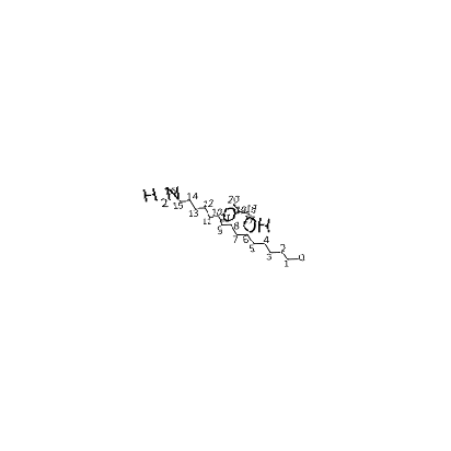 CCCCCCCCCCCCCCCCN.OCC1CO1